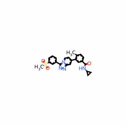 Cc1ccc(C(=O)NC2CC2)cc1-c1ccn2c(-c3cccc(S(C)(=O)=O)c3)nnc2c1